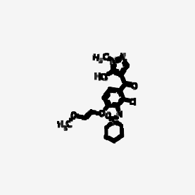 COCCOc1ccc(C(=O)c2cnn(C)c2O)c(Cl)c1N=S1(=O)CCCCC1